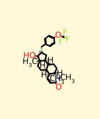 CN1C(=O)C=C[C@]2(C)[C@H]3CC[C@]4(C)[C@@H](O)[C@H](Cc5ccc(OC(F)(F)F)cc5)C[C@H]4[C@@H]3CC[C@@H]12